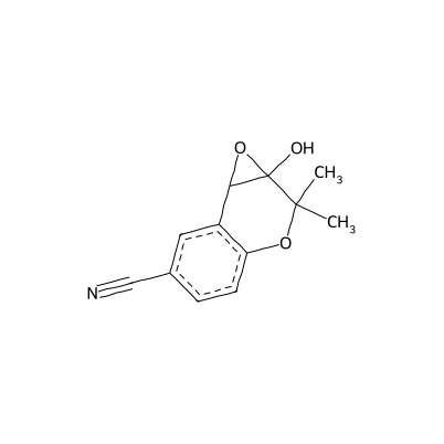 CC1(C)Oc2ccc(C#N)cc2C2OC21O